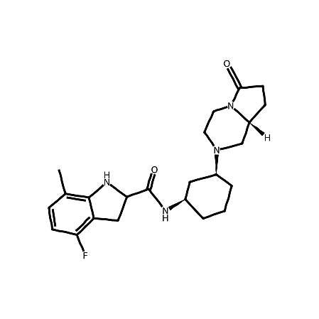 Cc1ccc(F)c2c1NC(C(=O)N[C@@H]1CCC[C@H](N3CCN4C(=O)CC[C@@H]4C3)C1)C2